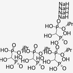 CC(C)OP(=O)(O)C(O)P(=O)(O)O.CC(C)OP(=O)(O)C(O)P(=O)(O)O.CC(C)OP(=O)(O)C(O)P(=O)(O)O.CC(C)OP(=O)(O)C(O)P(=O)(O)O.[NaH].[NaH].[NaH].[NaH]